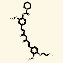 COc1cc(/C=C/C(=O)CC(=O)/C=C/c2ccc(OC(=O)N3CCCCC3)c(OC)c2)ccc1OCCN